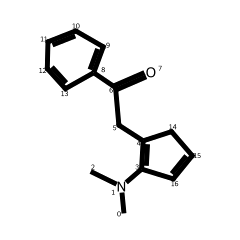 CN(C)C1=C(CC(=O)c2ccccc2)CC=C1